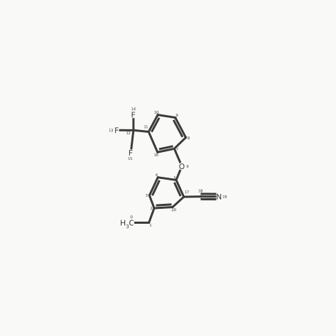 CCc1ccc(Oc2cccc(C(F)(F)F)c2)c(C#N)c1